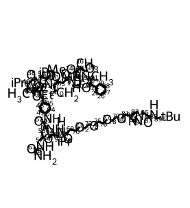 C=C(CC)[C@@H]([C@@H](CC(=O)N1CCC[C@H]1[C@H](OC)[C@@H](C)C(=O)N[C@H](C)[C@@H](O)c1ccccc1)OC)N(C)C(=O)[C@@H](NC(=O)[C@H](C(C)C)N(C)C(=O)OCc1ccc(NC(=O)[C@H](CCCNC(N)=O)NC(=O)[C@@H](NC(=O)CCOCCOCCOCCOCc2cn(CC(=O)NCC(C)(C)C)nn2)C(C)C)cc1)C(C)C